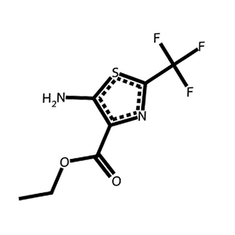 CCOC(=O)c1nc(C(F)(F)F)sc1N